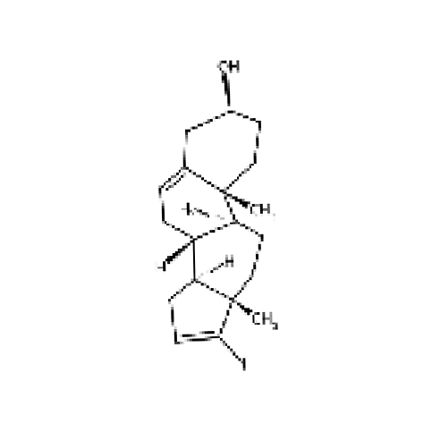 C[C@]12CC[C@H](O)CC1=CC[C@@H]1[C@@H]2CC[C@]2(C)C(I)=CC[C@@H]12